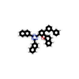 c1ccc(-c2cccc(-c3ccc(-c4nc(-c5ccc6ccccc6c5)nc(-c5ccc6ccccc6c5)n4)c4oc5c6ccccc6ccc5c34)c2)cc1